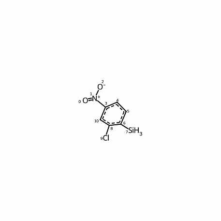 O=[N+]([O-])c1ccc([SiH3])c(Cl)c1